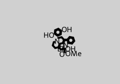 CC[C@]12CCCN3CCc4c(n(c5ccccc45)[C@@](O)(C(=O)OC)C1)[C@@H]32.Oc1ccc(O)cc1